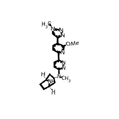 COc1nc(-c2ccc(N(C)[C@@H]3C[C@H]4CC[C@@H](C3)N4)nn2)ccc1-c1cn(C)nn1